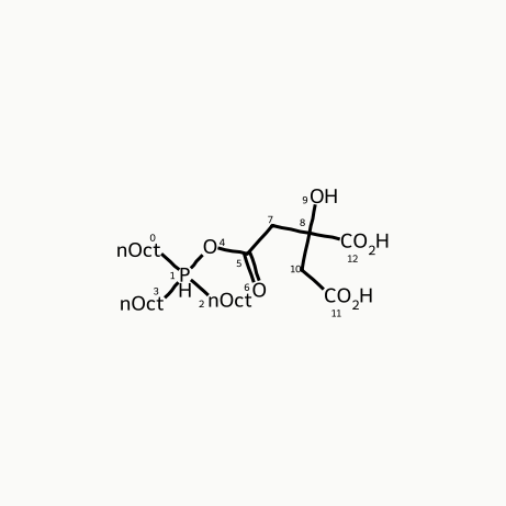 CCCCCCCC[PH](CCCCCCCC)(CCCCCCCC)OC(=O)CC(O)(CC(=O)O)C(=O)O